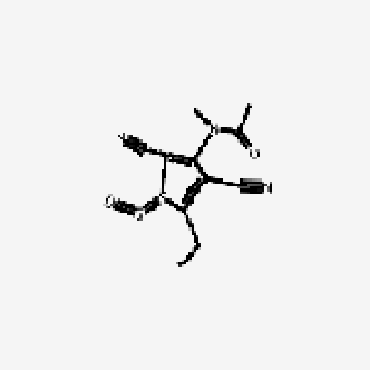 CCC1=C(C#N)C(N(C)C(C)=O)=C(C#N)S1=S=O